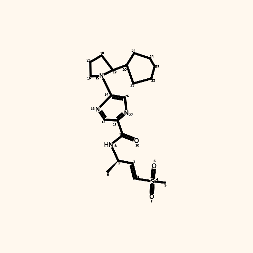 C[C@H](/C=C/S(C)(=O)=O)NC(=O)c1cnc(N2CCCC2C2CCCCC2)cn1